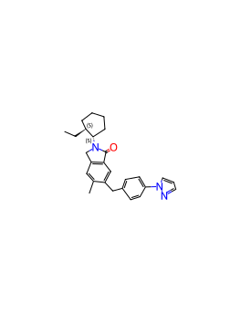 CC[C@H]1CCCC[C@@H]1N1Cc2cc(C)c(Cc3ccc(-n4cccn4)cc3)cc2C1=O